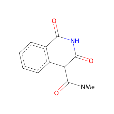 CNC(=O)C1C(=O)NC(=O)c2ccccc21